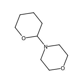 C1CCC(N2CCOCC2)OC1